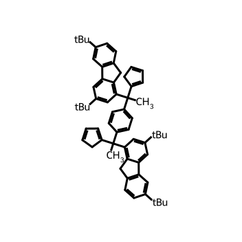 CC(C)(C)c1ccc2c(c1)-c1cc(C(C)(C)C)cc(C(C)(C3=CC=CC3)c3ccc(C(C)(C4=CC=CC4)c4cc(C(C)(C)C)cc5c4Cc4ccc(C(C)(C)C)cc4-5)cc3)c1C2